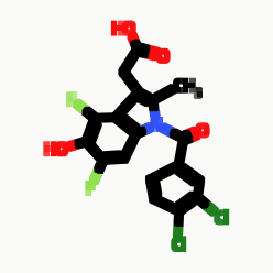 Cc1c(CC(=O)O)c2c(F)c(O)c(F)cc2n1C(=O)c1ccc(Cl)c(Cl)c1